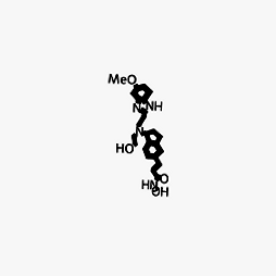 COc1ccc2[nH]c(CCN(CCO)C3CCc4cc(/C=C/C(=O)NO)ccc43)nc2c1